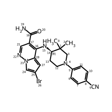 CC1(C)CN(c2ccc(C#N)cc2)CC[C@H]1Nc1c(C(N)=O)cnn2cc(Br)cc12